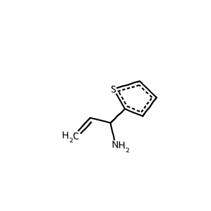 C=CC(N)c1cccs1